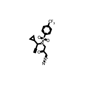 C#CC(C1CC1)N(CC(=O)C=[N+]=[N-])S(=O)(=O)c1ccc(C(F)(F)F)cc1